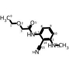 CCOCC(=O)Nc1cccc(NC)c1C#N